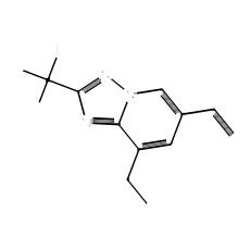 C=Cc1cc(CC)c2nc(C(F)(F)F)nn2c1